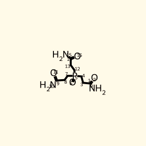 NC(=O)CCP(=O)(CCC(N)=O)CCC(N)=O